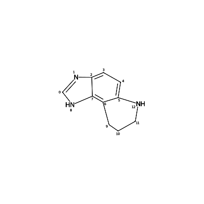 c1nc2ccc3c(c2[nH]1)CCCN3